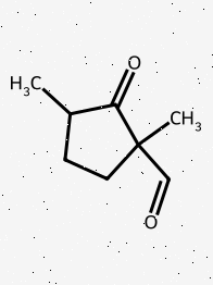 CC1CCC(C)(C=O)C1=O